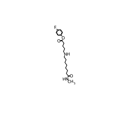 CNC(=O)CCCCCCCNCCCCC(=O)Oc1ccc(F)cc1